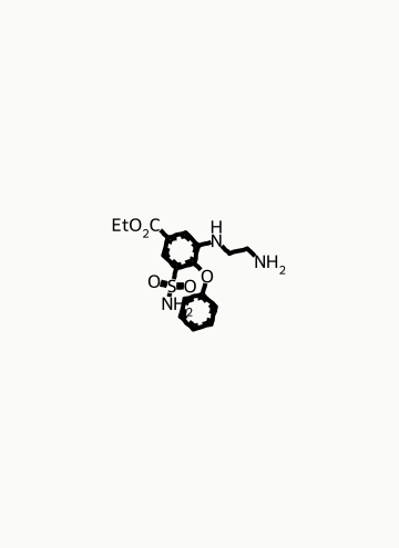 CCOC(=O)c1cc(NCCN)c(Oc2ccccc2)c(S(N)(=O)=O)c1